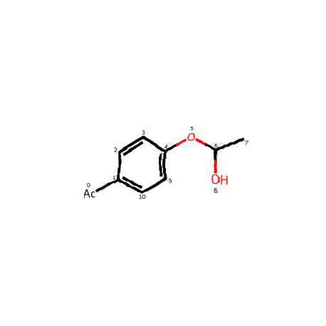 CC(=O)c1ccc(OC(C)O)cc1